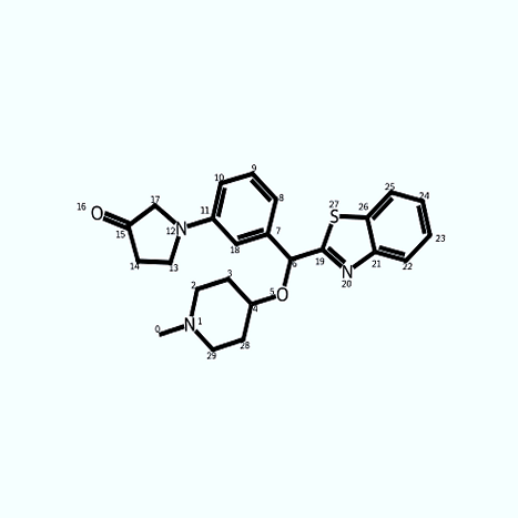 CN1CCC(OC(c2cccc(N3CCC(=O)C3)c2)c2nc3ccccc3s2)CC1